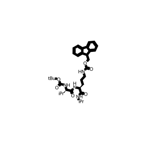 CC(C)NC(=O)[C@H](CCCNC(=O)OCC1c2ccccc2-c2ccccc21)NC(=O)[C@@H](NC(=O)OC(C)(C)C)C(C)C